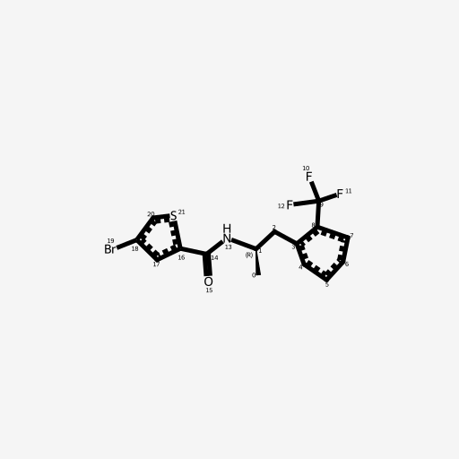 C[C@H](Cc1ccccc1C(F)(F)F)NC(=O)c1cc(Br)cs1